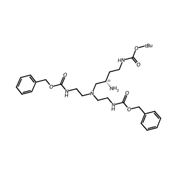 CC(C)(C)OC(=O)NCC[C@H](N)CN(CCNC(=O)OCc1ccccc1)CCNC(=O)OCc1ccccc1